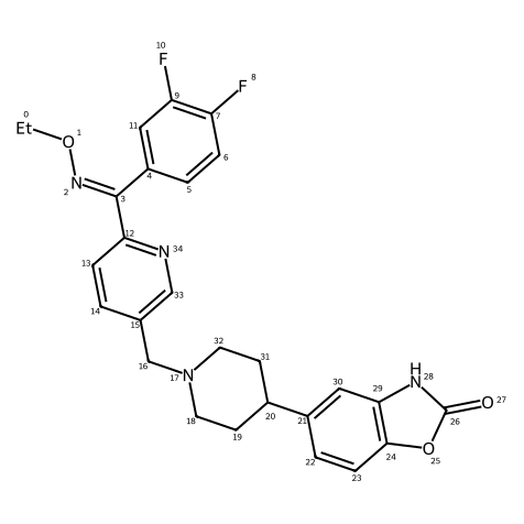 CCON=C(c1ccc(F)c(F)c1)c1ccc(CN2CCC(c3ccc4oc(=O)[nH]c4c3)CC2)cn1